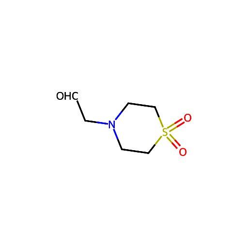 O=CCN1CCS(=O)(=O)CC1